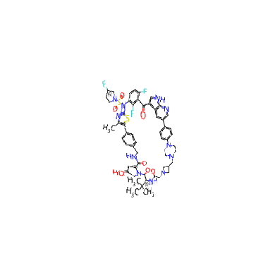 Cc1ncsc1-c1ccc(CNC(=O)[C@@H]2C[C@@H](O)CN2C(=O)[C@@H](NC(=O)CN2CC(CN3CCN(c4ccc(-c5cnc6[nH]cc(C(=O)c7c(F)ccc(NS(=O)(=O)N8CC[C@@H](F)C8)c7F)c6c5)cc4)CC3)C2)C(C)(C)C)cc1